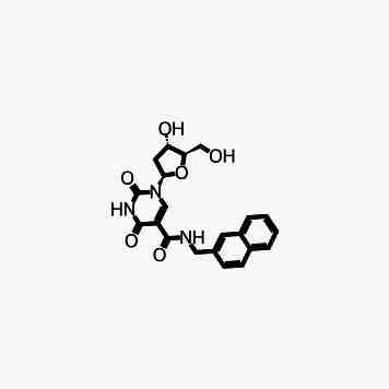 O=C(NCc1ccc2ccccc2c1)c1cn([C@H]2C[C@H](O)[C@@H](CO)O2)c(=O)[nH]c1=O